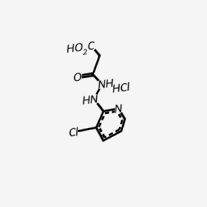 Cl.O=C(O)CC(=O)NNc1ncccc1Cl